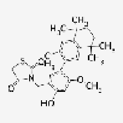 COc1cc(O)c(CN2C(=O)CSC2=O)cc1-c1cc2c(cc1C)C(C)(C)CCC2(C)C